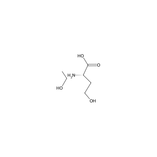 CCO.N[C@@H](CCO)C(=O)O